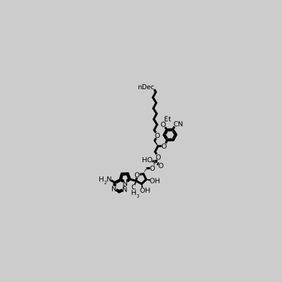 CCCCCCCCCCCCCCCCCCOC[C@H](COP(=O)(O)OC[C@H]1O[C@@](C)(c2ccc3c(N)ncnn23)[C@H](O)[C@@H]1O)Oc1ccc(C#N)c(OCC)c1